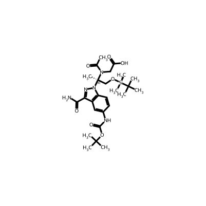 CC(=O)N(CC(=O)O)[C@@](C)(CO[Si](C)(C)C(C)(C)C)n1nc(C(N)=O)c2cc(NC(=O)OC(C)(C)C)ccc21